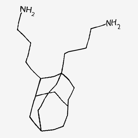 NCCCC1C2CC3CC(C2)CC1(CCCN)C3